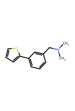 CN(C)Cc1cccc(-c2cccs2)c1